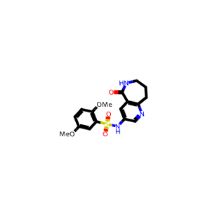 COc1ccc(OC)c(S(=O)(=O)Nc2cnc3c(c2)C(=O)NCCC3)c1